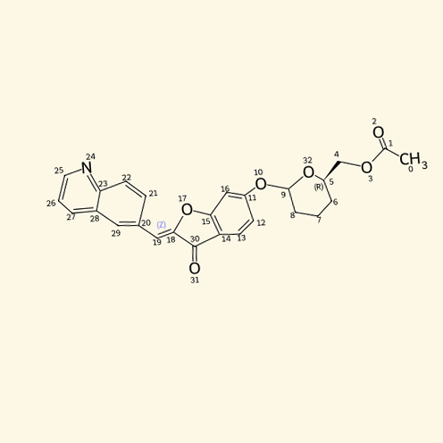 CC(=O)OC[C@H]1CCCC(Oc2ccc3c(c2)O/C(=C\c2ccc4ncccc4c2)C3=O)O1